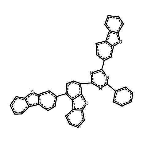 c1ccc(-c2nc(-c3ccc4c(c3)oc3ccccc34)nc(-c3ccc(-c4ccc5c(c4)sc4ccccc45)c4c3oc3ccccc34)n2)cc1